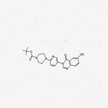 CC(C)(C)OC(=O)N1CCN(c2ccc(-n3cnc4ccc(O)cc4c3=O)cn2)CC1